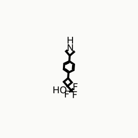 OC1(C(F)(F)F)CC(c2ccc(C3CNC3)cc2)C1